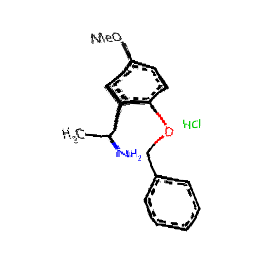 COc1ccc(OCc2ccccc2)c(C(C)N)c1.Cl